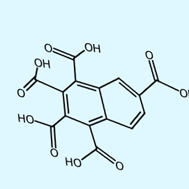 O=C(O)c1ccc2c(C(=O)O)c(C(=O)O)c(C(=O)O)c(C(=O)O)c2c1